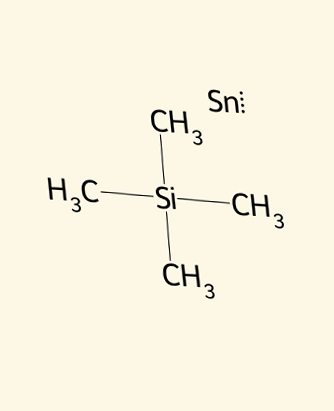 C[Si](C)(C)C.[Sn]